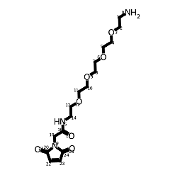 NCCOCCOCCOCCOCCNC(=O)CN1C(=O)C=CC1=O